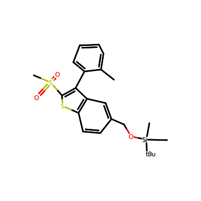 Cc1ccccc1-c1c(S(C)(=O)=O)sc2ccc(CO[Si](C)(C)C(C)(C)C)cc12